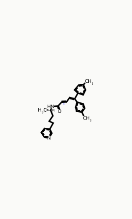 Cc1ccc(C(=C/C=C/C(=O)N[C@H](C)CCCc2cccnc2)c2ccc(C)cc2)cc1